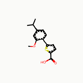 COc1cc(C(C)C)ccc1-c1ccc(C(=O)O)s1